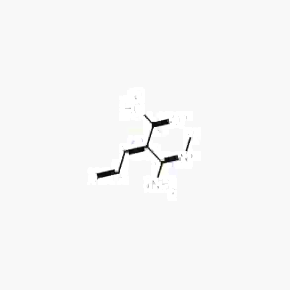 C=C/C=C(C(=O)O)\C(N)=N/C